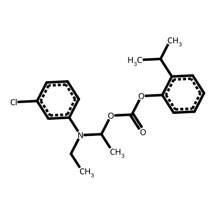 CCN(c1cccc(Cl)c1)C(C)OC(=O)Oc1ccccc1C(C)C